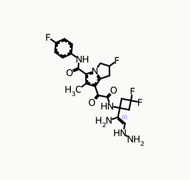 Cc1c(C(=O)C(=O)NC2(/C(N)=C/NN)CC(F)(F)C2)c2n(c1C(=O)Nc1ccc(F)cc1)CC(F)C2